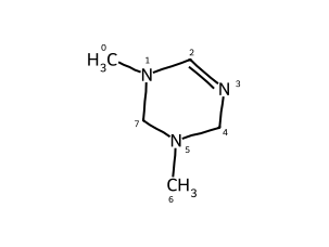 CN1C=NCN(C)C1